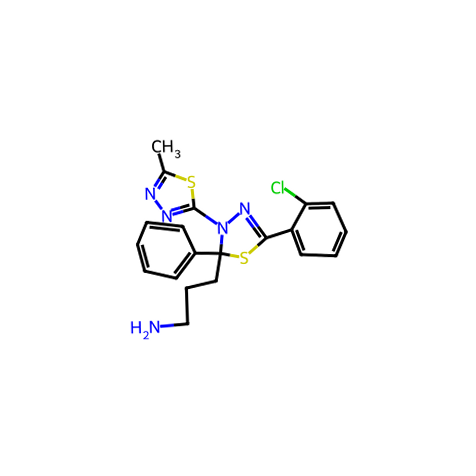 Cc1nnc(N2N=C(c3ccccc3Cl)SC2(CCCN)c2ccccc2)s1